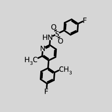 Cc1cc(F)ccc1-c1ccc(NS(=O)(=O)c2ccc(F)cc2)nc1C